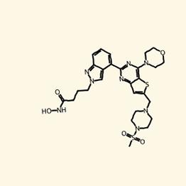 CS(=O)(=O)N1CCN(Cc2cc3nc(-c4cccc5nn(CCCC(=O)NO)cc45)nc(N4CCOCC4)c3s2)CC1